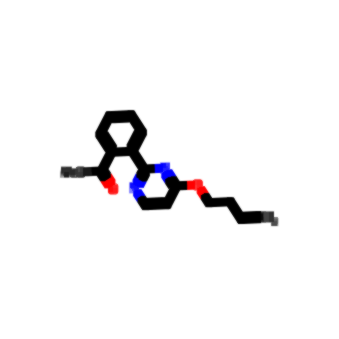 C=CCCOc1ccnc(-c2ccccc2C(=O)OC)n1